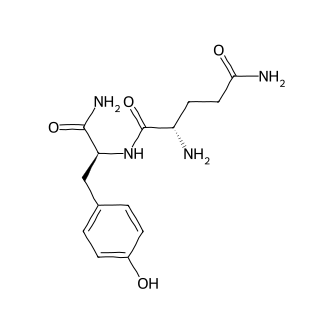 NC(=O)CC[C@H](N)C(=O)N[C@@H](Cc1ccc(O)cc1)C(N)=O